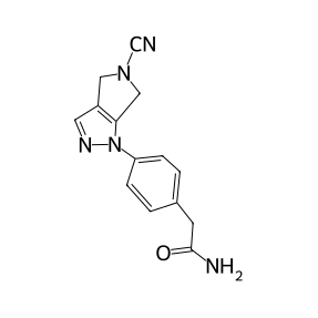 N#CN1Cc2cnn(-c3ccc(CC(N)=O)cc3)c2C1